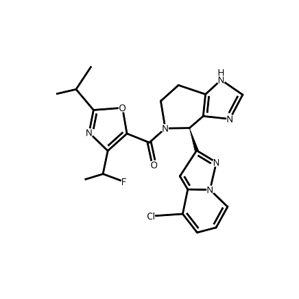 CC(C)c1nc(C(C)F)c(C(=O)N2CCc3[nH]cnc3[C@H]2c2cc3c(Cl)cccn3n2)o1